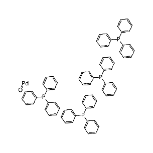 [O]=[Pd].c1ccc(P(c2ccccc2)c2ccccc2)cc1.c1ccc(P(c2ccccc2)c2ccccc2)cc1.c1ccc(P(c2ccccc2)c2ccccc2)cc1.c1ccc(P(c2ccccc2)c2ccccc2)cc1